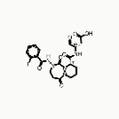 O=C[C@H](CC(=O)O)NC(=O)[C@@H]1CCCN2C(=O)CCN(NC(=O)c3ccccc3F)C(=O)N12